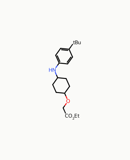 CCOC(=O)COC1CCC(Nc2ccc(C(C)(C)C)cc2)CC1